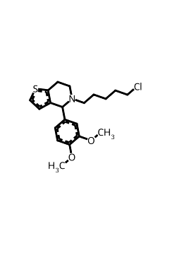 COc1ccc(C2c3ccsc3CCN2CCCCCCl)cc1OC